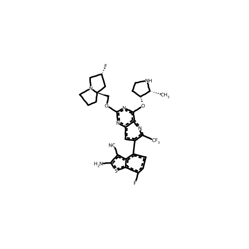 C[C@H]1NCC[C@H]1Oc1nc(OC[C@@]23CCCN2C[C@H](F)C3)nc2cc(-c3ccc(F)c4sc(N)c(C#N)c34)c(C(F)(F)F)nc12